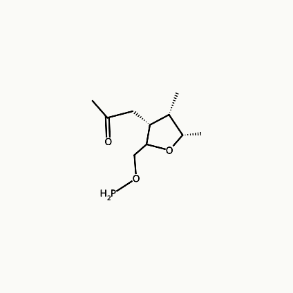 CC(=O)C[C@H]1C(COP)O[C@@H](C)[C@H]1C